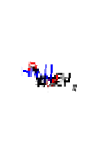 CC(C)(C)OC(=O)Nc1cccc(CCNC=O)n1